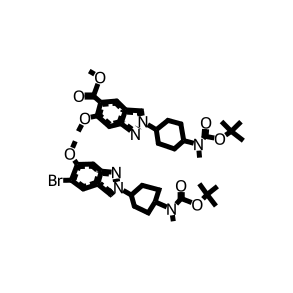 COC(=O)c1cc2cn(C3CCC(N(C)C(=O)OC(C)(C)C)CC3)nc2cc1OC.COc1cc2nn(C3CCC(N(C)C(=O)OC(C)(C)C)CC3)cc2cc1Br